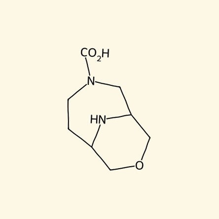 O=C(O)N1CCC2COCC(C1)N2